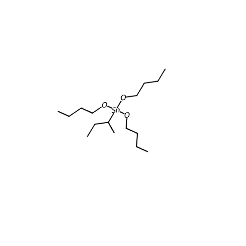 CCCC[O][Sn]([O]CCCC)([O]CCCC)[CH](C)CC